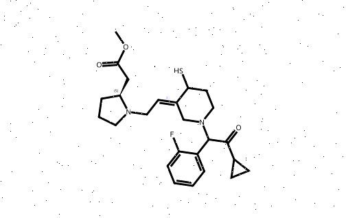 COC(=O)C[C@@H]1CCCN1C/C=C1\CN(C(C(=O)C2CC2)c2ccccc2F)CCC1S